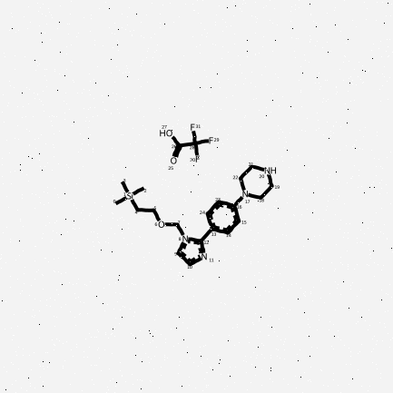 C[Si](C)(C)CCOCn1ccnc1-c1ccc(N2CCNCC2)cc1.O=C(O)C(F)(F)F